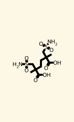 CC(CCC(C)(CS(N)(=O)=O)C(=O)O)(CS(N)(=O)=O)C(=O)O